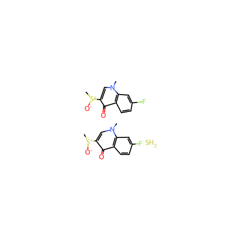 Cn1cc([S+](C)[O-])c(=O)c2ccc(F)cc21.Cn1cc([S+](C)[O-])c(=O)c2ccc(F)cc21.S